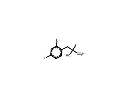 O=C(O)C(O)(F)Cc1ccc(F)cc1F